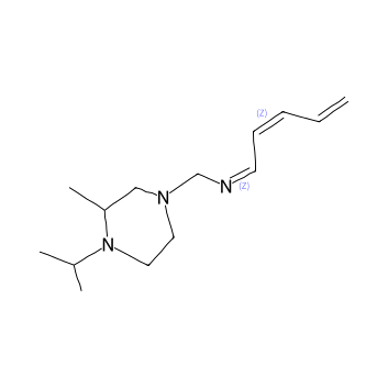 C=C/C=C\C=N/CN1CCN(C(C)C)C(C)C1